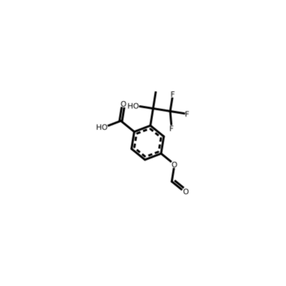 CC(O)(c1cc(OC=O)ccc1C(=O)O)C(F)(F)F